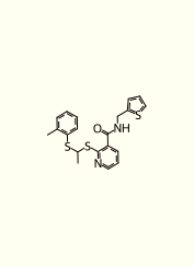 Cc1ccccc1SC(C)Sc1ncccc1C(=O)NCc1cccs1